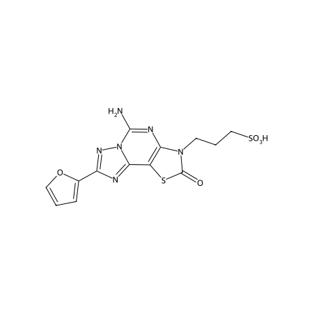 Nc1nc2c(sc(=O)n2CCCS(=O)(=O)O)c2nc(-c3ccco3)nn12